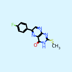 CSc1nc2ncc(-c3ccc(F)cc3)nc2c(=O)[nH]1